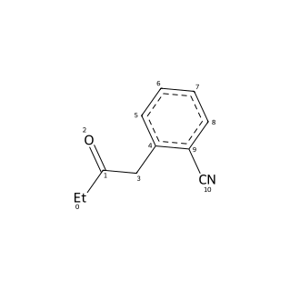 CCC(=O)Cc1ccccc1C#N